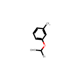 CCC([C]=O)Oc1cccc(C(F)(F)F)c1